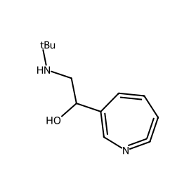 CC(C)(C)NCC(O)C1=CN=C=CC=C1